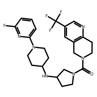 O=C(N1CCc2ncc(C(F)(F)F)cc2C1)N1CCC(NC2CCN(c3cccc(F)n3)CC2)C1